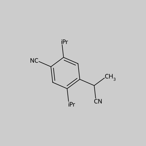 CC(C)c1cc(C(C)C#N)c(C(C)C)cc1C#N